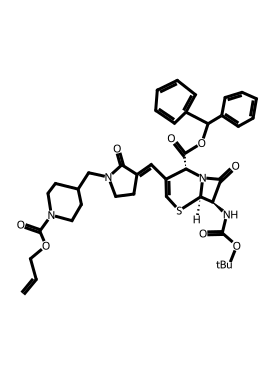 C=CCOC(=O)N1CCC(CN2CCC(=CC3=CS[C@@H]4[C@H](NC(=O)OC(C)(C)C)C(=O)N4[C@H]3C(=O)OC(c3ccccc3)c3ccccc3)C2=O)CC1